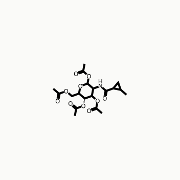 CC(=O)OCC1OC(OC(C)=O)C(NC(=O)C2CC2C)C(OC(C)=O)[C@@H]1OC(C)=O